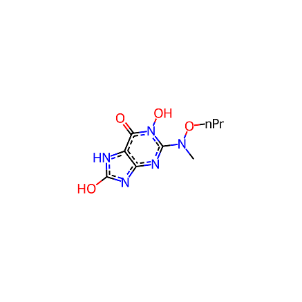 CCCON(C)c1nc2nc(O)[nH]c2c(=O)n1O